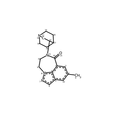 Cc1cc2c3c(cnn3CCN(C3CN4CCC3CC4)C2=O)c1